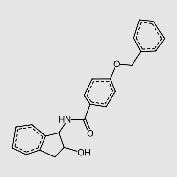 O=C(NC1c2ccccc2CC1O)c1ccc(OCc2ccccc2)cc1